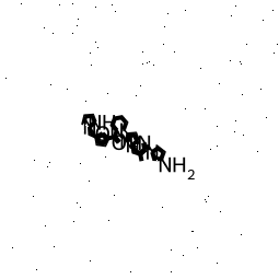 Cc1cn2nc([C@@H]3CCCCN3C(=O)c3ccc(CN4CCCN4)o3)cc2nc1N1CC[C@H](N)C1